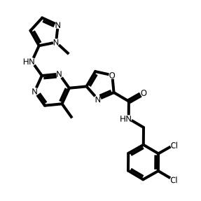 Cc1cnc(Nc2ccnn2C)nc1-c1coc(C(=O)NCc2cccc(Cl)c2Cl)n1